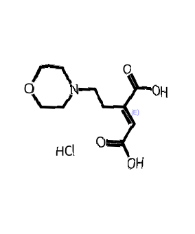 Cl.O=C(O)/C=C(\CCN1CCOCC1)C(=O)O